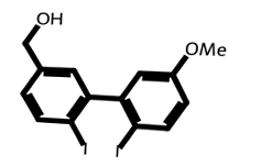 COc1ccc(I)c(-c2cc(CO)ccc2I)c1